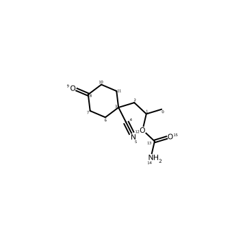 CC(CC1(C#N)CCC(=O)CC1)OC(N)=O